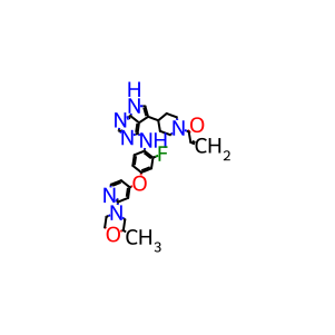 C=CC(=O)N1CCC(c2c[nH]c3ncnc(Nc4ccc(Oc5ccnc(N6CCOC(C)C6)c5)cc4F)c23)CC1